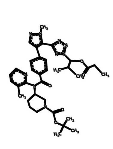 CCC(=O)OC(C(C)C)n1nnc(-c2c(-c3ccc(C(=O)N(c4ncccc4C)[C@@H]4CCCN(C(=O)OC(C)(C)C)C4)cc3)cnn2C)n1